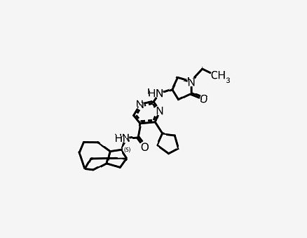 CCN1CC(Nc2ncc(C(=O)N[C@H]3C4CC5CCCC3C(C5)C4)c(C3CCCC3)n2)CC1=O